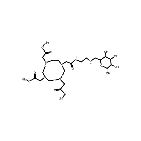 CC(C)(C)OC(=O)CN1CCN(CC(=O)NCCNCC2O[C@@H](O)C(O)C(O)[C@@H]2O)CCN(CC(=O)OC(C)(C)C)CCN(CC(=O)OC(C)(C)C)CC1